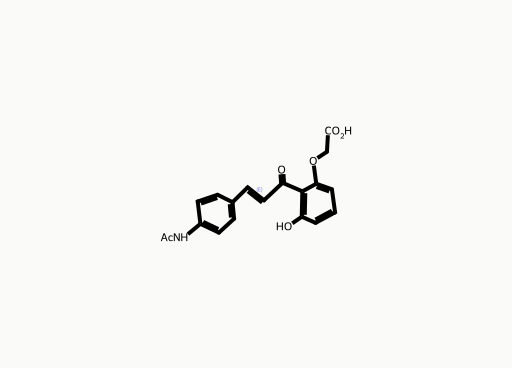 CC(=O)Nc1ccc(/C=C/C(=O)c2c(O)cccc2OCC(=O)O)cc1